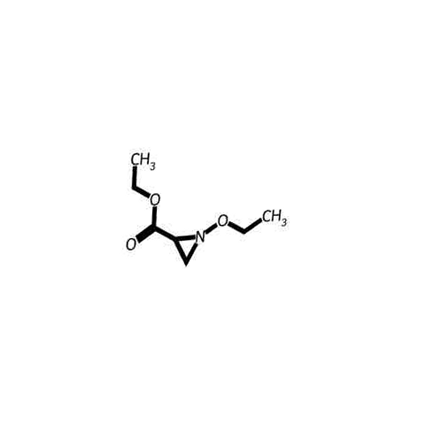 CCOC(=O)C1CN1OCC